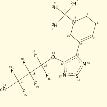 [2H]C([2H])([2H])N1CCC=C(c2nsnc2OC(F)(F)C(F)(F)C(F)(F)CCC)C1